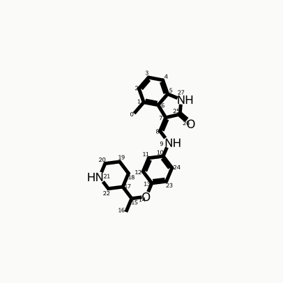 Cc1cccc2c1C(=CNc1ccc(OC(C)C3CCCNC3)cc1)C(=O)N2